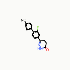 N#Cc1ccc(-c2ccc(C3=NNC(=O)CC3)cc2F)cc1